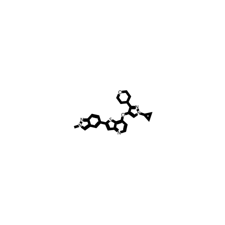 Cn1cc2cc(-c3cc4nccc(Oc5cn(C6CC6)nc5C5CCOCC5)c4s3)ccc2n1